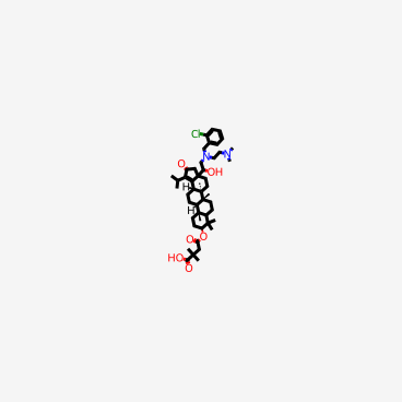 CC(C)C1=C2[C@H]3CC[C@@H]4[C@@]5(C)CC[C@H](OC(=O)CC(C)(C)C(=O)O)C(C)(C)C5CC[C@@]4(C)[C@]3(C)CCC2(C(O)CN(CCN(C)C)Cc2ccccc2Cl)CC1=O